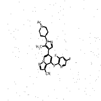 CC(=O)N1CCC(n2ncc(-c3cc(Sc4ncc(F)cc4F)c4c(C#N)cnn4c3)c2C)CC1